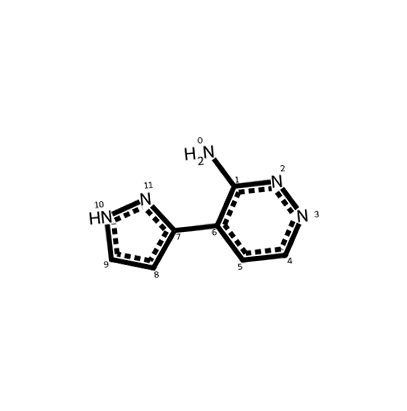 Nc1nnccc1-c1cc[nH]n1